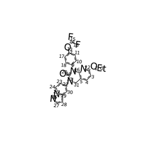 CCOc1ccc2c(n1)N(c1ccc(OC(F)F)cc1)C(=O)N(c1ccn3nccc3c1)C2